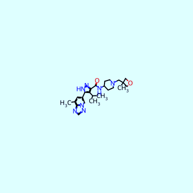 Cc1cc(-c2[nH]nc(C(=O)NC3CCN(CC4(C)COC4)CC3)c2C(C)C)cn2ncnc12